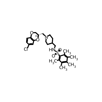 Cc1c(C)c(C)c(S(=O)(=O)NCC2CCN(C[C@H]3COc4ccc(Cl)cc4O3)CC2)c(C)c1C